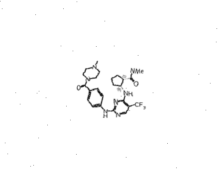 CNC(=O)[C@H]1CCC[C@H]1Nc1nc(Nc2ccc(C(=O)N3CCN(C)CC3)cc2)ncc1C(F)(F)F